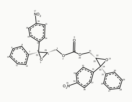 O=C(OC[C@@H]1O[C@@]1(c1ccccc1)c1ccc([N+](=O)[O-])cc1)OC[C@@H]1O[C@@]1(c1ccccc1)c1ccc([N+](=O)[O-])cc1